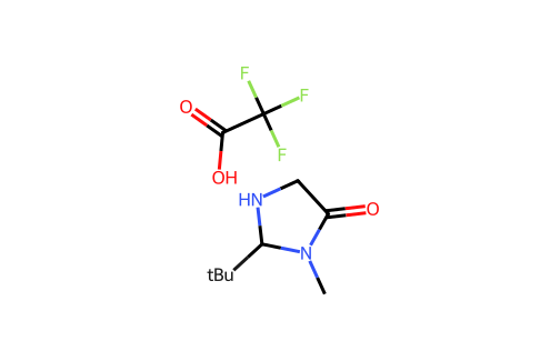 CN1C(=O)CNC1C(C)(C)C.O=C(O)C(F)(F)F